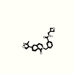 Cc1nocc1-c1ccc2c(=O)n(Cc3cccc(C(=O)NCC4COC4)c3)ccc2c1